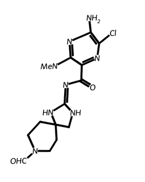 CNc1nc(N)c(Cl)nc1C(=O)/N=C1\NCC2(CCN(C=O)CC2)N1